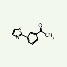 CC(=O)c1cccc(-c2nccs2)c1